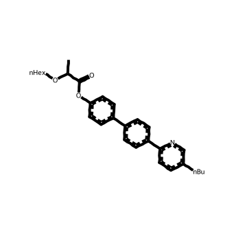 CCCCCCOC(C)C(=O)Oc1ccc(-c2ccc(-c3ccc(CCCC)cn3)cc2)cc1